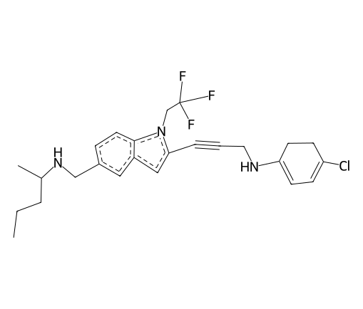 CCCC(C)NCc1ccc2c(c1)cc(C#CCNC1=CC=C(Cl)CC1)n2CC(F)(F)F